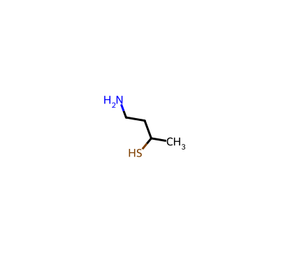 CC(S)CCN